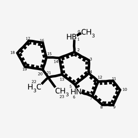 CBc1cc2c([nH]c3ccccc32)c2c1-c1ccccc1C2(C)C